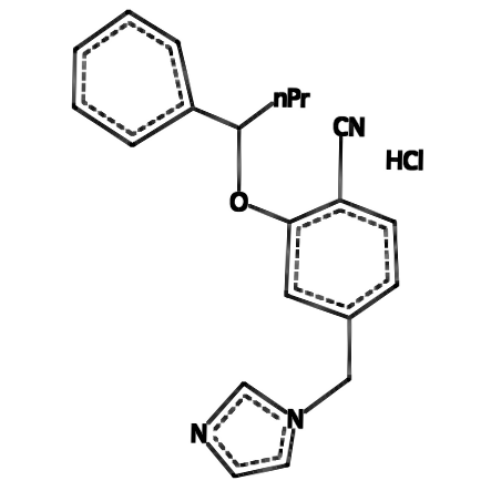 CCCC(Oc1cc(Cn2ccnc2)ccc1C#N)c1ccccc1.Cl